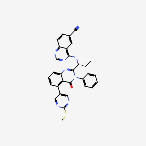 CC[C@H](Nc1ncnc2ccc(C#N)cc12)c1nc2cccc(-c3cnc(SC)nc3)c2c(=O)n1-c1ccccc1